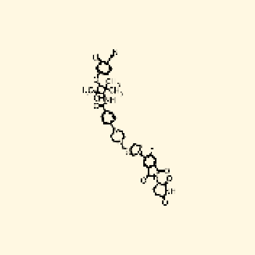 CC1(C)C(NC(=O)c2ccc(N3CCN(C[C@@H]4CCN(c5cc6c(cc5F)C(=O)N(C5CCC(=O)NC5=O)C6=O)C4)CC3)cc2)C(C)(C)C1Oc1ccc(C#N)c(Cl)c1